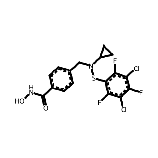 O=C(NO)c1ccc(CN(Sc2c(F)c(Cl)c(F)c(Cl)c2F)C2CC2)cc1